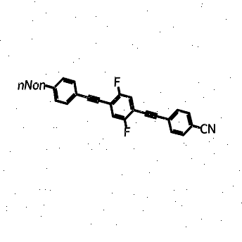 CCCCCCCCCc1ccc(C#Cc2cc(F)c(C#Cc3ccc(C#N)cc3)cc2F)cc1